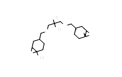 CC(C)(COCC1CCC2(C)OC2C1)COCC1CCC2(C)OC2C1